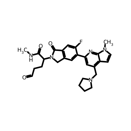 CNC(=O)C(CCC=O)N1Cc2cc(-c3cc(CN4CCCC4)c4ccn(C)c4n3)c(F)cc2C1=O